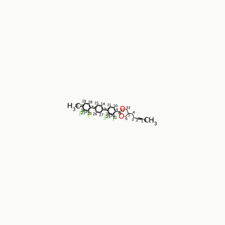 CC#CCCC1COC(c2ccc(-c3ccc(-c4ccc(C)c(F)c4F)cc3)c(F)c2F)OC1